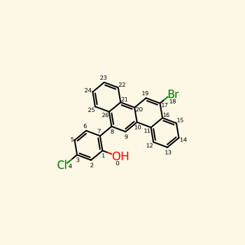 Oc1cc(Cl)ccc1-c1cc2c3ccccc3c(Br)cc2c2ccccc12